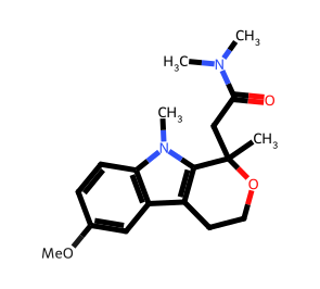 COc1ccc2c(c1)c1c(n2C)C(C)(CC(=O)N(C)C)OCC1